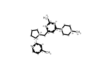 Cc1ccnc([C@@H]2CCCN2Cc2cc(N3CCN(C)CC3)nc(C)n2)c1